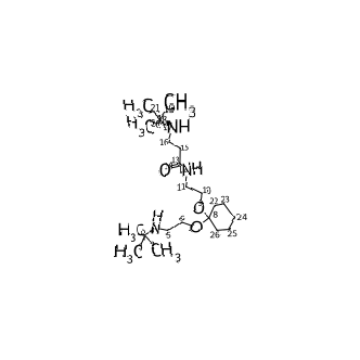 CC(C)(C)NCCOC1(OCCNC(=O)CCNC(C)(C)C)CCCCC1